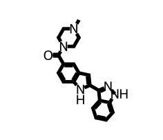 CN1CCN(C(=O)c2ccc3[nH]c(-c4n[nH]c5ccccc45)cc3c2)CC1